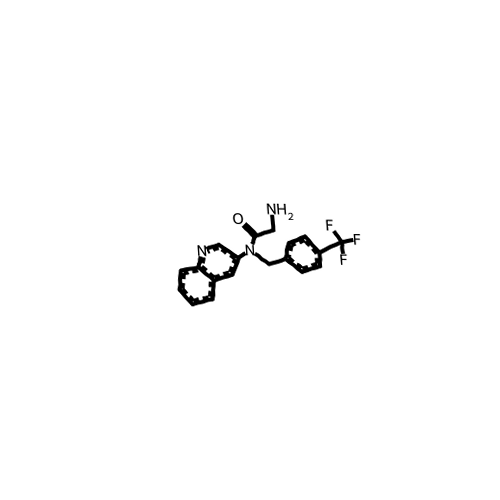 NCC(=O)N(Cc1ccc(C(F)(F)F)cc1)c1cnc2ccccc2c1